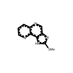 CSc1nc2cnc3cccnc3c2[nH]1